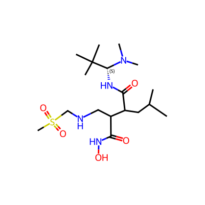 CC(C)CC(C(=O)N[C@@H](N(C)C)C(C)(C)C)C(CNCS(C)(=O)=O)C(=O)NO